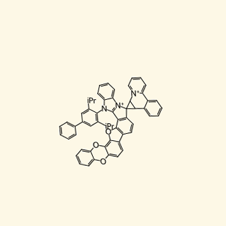 CC(C)c1cc(-c2ccccc2)cc(C(C)C)c1-n1c2[n+](c3ccccc31)C1(c3ccc4c(oc5c6c(ccc54)Oc4ccccc4O6)c3-2)C2c3ccccc3-c3cccc[n+]3C21